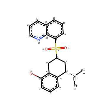 CC[SiH](CC)[C@H]1CC(S(=O)(=O)c2cccc3cccnc23)Cc2c(Br)cccc21